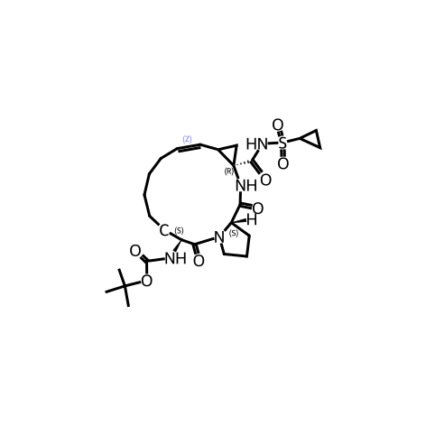 CC(C)(C)OC(=O)N[C@H]1CCCCC/C=C\C2C[C@@]2(C(=O)NS(=O)(=O)C2CC2)NC(=O)[C@@H]2CCCN2C1=O